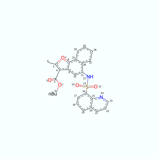 CCCCOC(=O)c1c(C)oc2c1cc(NS(=O)(=O)c1cccc3cccnc13)c1ccccc12